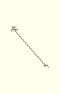 NCCCCCCCCCCCCCCCCCCCCCCCCCCCCNC(=S)S